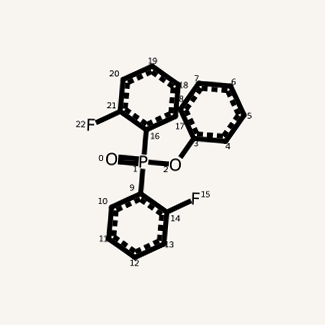 O=P(Oc1ccccc1)(c1ccccc1F)c1ccccc1F